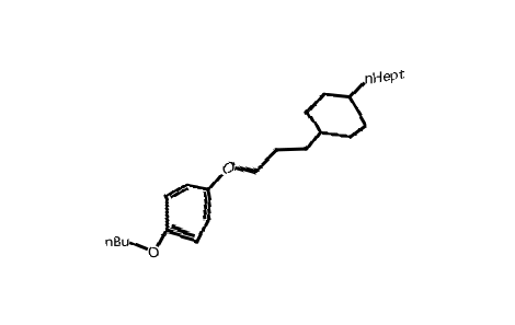 CCCCCCCC1CCC(CCCOc2ccc(OCCCC)cc2)CC1